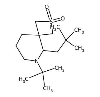 CC(C)(C)CC1N(C(C)(C)C)CCCC12CS(=O)(=O)C2